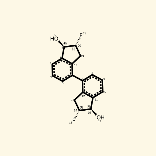 O[C@@H]1c2cccc(-c3cccc4c3C[C@@H](F)[C@@H]4O)c2C[C@H]1F